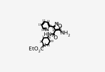 CCOC(=O)N1CCC(NC(=O)c2c(-c3ccccn3)noc2N)CC1